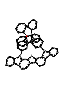 c1ccc(-n2c3ccccc3c3cc(-n4c5ccccc5c5ccc6c7ccc8c9ccccc9n(-c9ccc%10c(c9)c9ccccc9n%10-c9ccccc9)c8c7sc6c54)ccc32)cc1